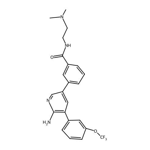 CN(C)CCNC(=O)c1cccc(-c2cnc(N)c(-c3cccc(OC(F)(F)F)c3)c2)c1